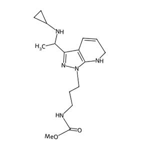 COC(=O)NCCCn1nc(C(C)NC2CC2)c2c1NCC=C2